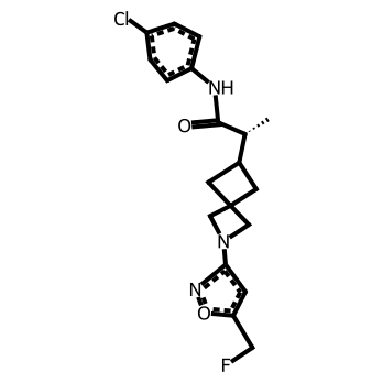 C[C@@H](C(=O)Nc1ccc(Cl)cc1)C1CC2(C1)CN(c1cc(CF)on1)C2